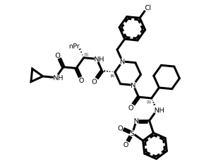 CCC[C@H](NC(=O)[C@H]1CN(C(=O)[C@@H](NC2=NS(=O)(=O)c3ccccc32)C2CCCCC2)CCN1Cc1ccc(Cl)cc1)C(=O)C(=O)NC1CC1